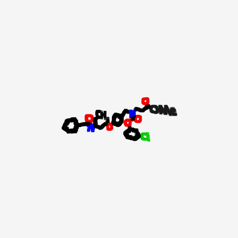 COC(=O)CCN(Cc1ccc(OCCc2nc(-c3ccccc3)oc2C)cc1)C(=O)Oc1cccc(Cl)c1